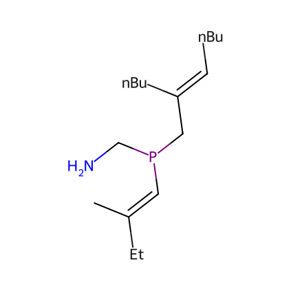 CCCC/C=C(\CCCC)CP(/C=C(\C)CC)CN